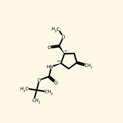 C=C1C[C@H](C(=O)OC)[C@H](NC(=O)OC(C)(C)C)C1